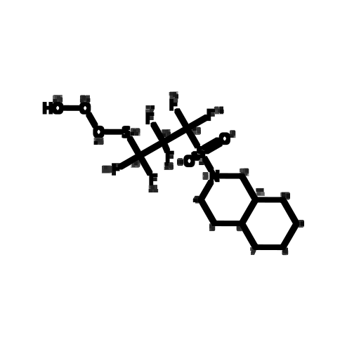 O=S(=O)(N1CCC2CCCCC2C1)C(F)(F)C(F)(F)C(F)(F)SOOO